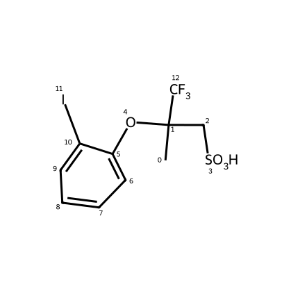 CC(CS(=O)(=O)O)(Oc1ccccc1I)C(F)(F)F